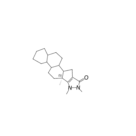 Cn1c2c(c(=O)n1C)CC1C3CCC4CCCCC4C3CC[C@]21C